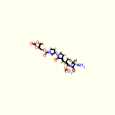 Cc1oc(=O)oc1COC(=O)N1CC[C@@H](N2CC/C(=C\C3=C(OC(=O)O)N4C(=O)[C@@H](N)[C@H]4SC3)C2=O)C1